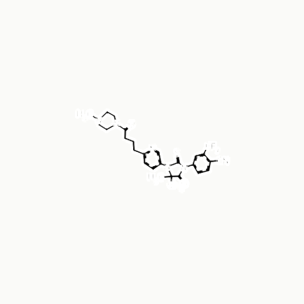 CN1CCN(C(=O)CCCc2ccc(N3C(=S)N(c4ccc(C#N)c(C(F)(F)F)c4)C(=O)C3(C)C)cn2)CC1